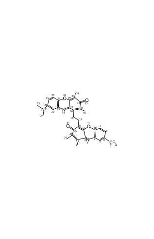 Cc1c2nc3cc(C(F)(F)F)ccc3oc-2c(CCc2c3nc4cc(N(C)C)ccc4oc-3c(C)c(=O)c2C)c(=O)c1C